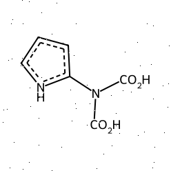 O=C(O)N(C(=O)O)c1ccc[nH]1